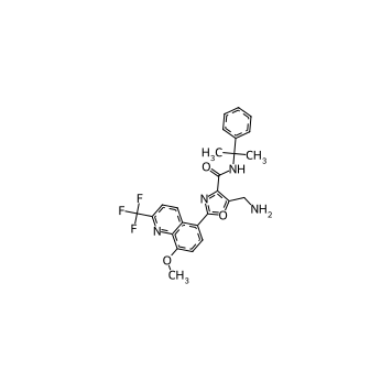 COc1ccc(-c2nc(C(=O)NC(C)(C)c3ccccc3)c(CN)o2)c2ccc(C(F)(F)F)nc12